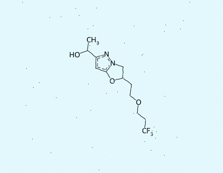 CC(O)c1cc2n(n1)CC(CCOCCC(F)(F)F)O2